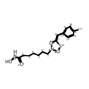 O=C(CCCCCCN1OS/C(=C\c2ccc(F)cc2)O1)NO